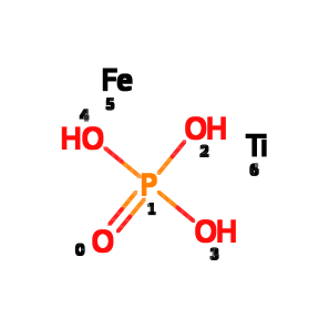 O=P(O)(O)O.[Fe].[Ti]